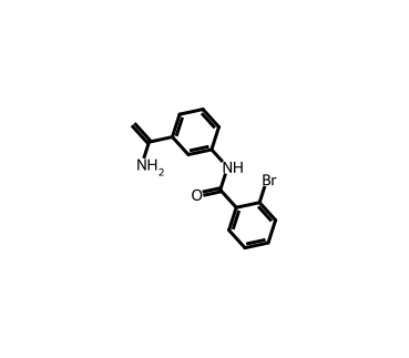 C=C(N)c1cccc(NC(=O)c2ccccc2Br)c1